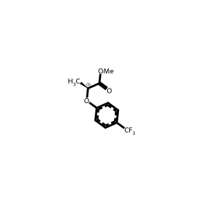 COC(=O)[C@H](C)Oc1ccc(C(F)(F)F)cc1